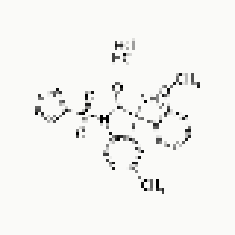 COc1ccccc1C1(N)C(=O)N(S(=O)(=O)c2cccs2)c2ccc(C)cc21.Cl.Cl